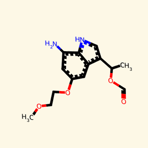 COCCOc1cc(N)c2[nH]cc(C(C)OC=O)c2c1